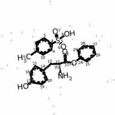 Cc1ccc(S(=O)(=O)O)cc1.N[C@@H](Cc1ccc(O)cc1)C(=O)Oc1ccccc1